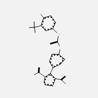 Cc1ccc(NC(=O)Nc2ccc(-c3c(C(=O)O)c[nH]c3C(N)=O)cc2)cc1C(F)(F)F